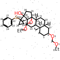 CCOCO[C@H]1CC[C@@]2(C)[C@H](CC[C@@H]3[C@@H]2CC[C@]2(C)C(O)(C4(Sc5ccccc5)CC4)CC[C@]32OCOCC)C1